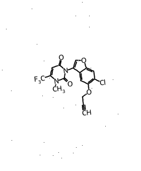 C#CCOc1cc2c(-n3c(=O)cc(C(F)(F)F)n(C)c3=O)coc2cc1Cl